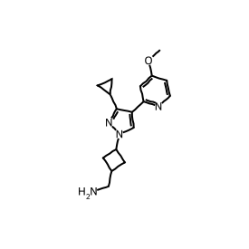 COc1ccnc(-c2cn(C3CC(CN)C3)nc2C2CC2)c1